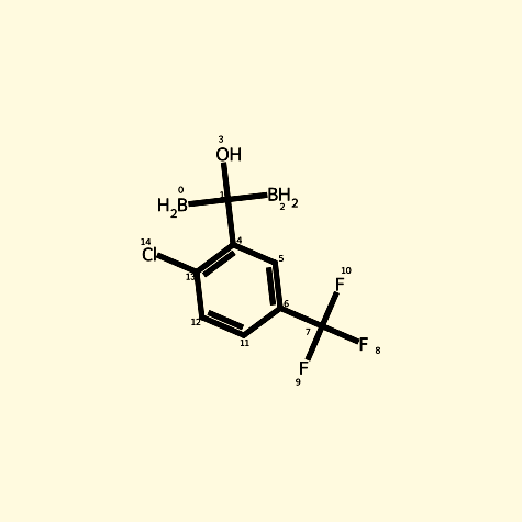 BC(B)(O)c1cc(C(F)(F)F)ccc1Cl